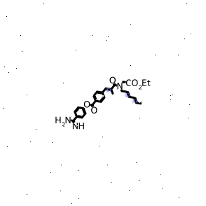 C/C=C/C=C/CN(CC(=O)OCC)C(=O)/C(C)=C/c1ccc(C(=O)Oc2ccc(C(=N)N)cc2)cc1